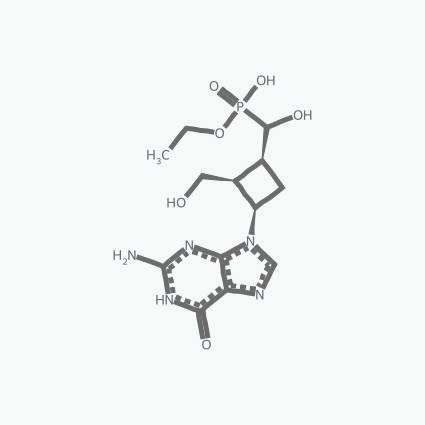 CCOP(=O)(O)C(O)[C@H]1C[C@@H](n2cnc3c(=O)[nH]c(N)nc32)[C@H]1CO